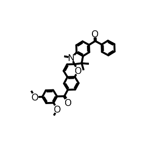 COc1ccc(C(=O)c2ccc3c(c2)C=CC2(O3)N(C)c3ccc(C(=O)c4ccccc4)cc3C2(C)C)c(OC)c1